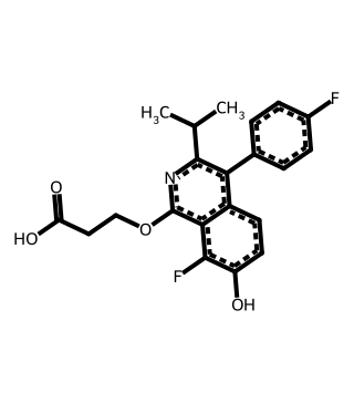 CC(C)c1nc(OCCC(=O)O)c2c(F)c(O)ccc2c1-c1ccc(F)cc1